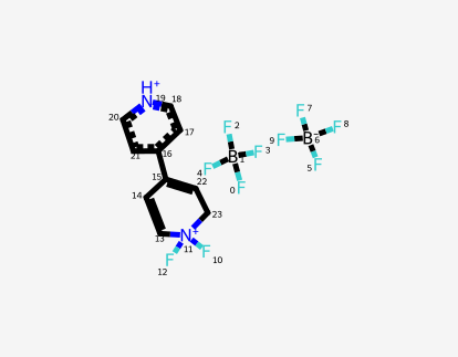 F[B-](F)(F)F.F[B-](F)(F)F.F[N+]1(F)C=CC(c2cc[nH+]cc2)=CC1